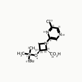 CC(C)(C)[Si](C)(C)O[C@H]1CN(c2cncc(Cl)n2)[C@@H]1C(=O)O